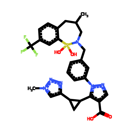 CC1Cc2ccc(C(F)(F)F)cc2S(O)(O)N(Cc2cccc(-n3ncc(C(=O)O)c3C3CC3c3cn(C)nn3)c2)C1